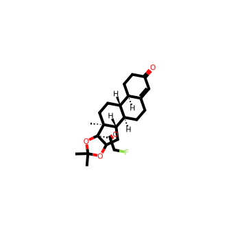 CC1(C)OC2C[C@H]3[C@@H]4CCC5=CC(=O)CC[C@@H]5[C@H]4CC[C@]3(C)[C@]2(C(=O)CF)O1